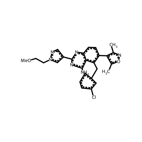 COCCn1cc(-c2nc(N)c3c(Cc4cccc(Cl)c4)c(-c4c(C)noc4C)ccc3n2)cn1